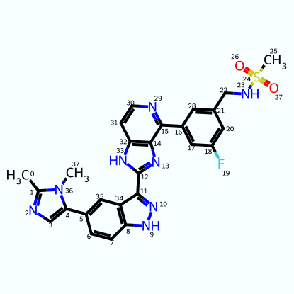 Cc1ncc(-c2ccc3[nH]nc(-c4nc5c(-c6cc(F)cc(CNS(C)(=O)=O)c6)nccc5[nH]4)c3c2)n1C